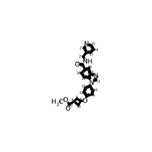 COC(=O)C1CC(Oc2ccc(-n3cnc4cc(C(=O)NCc5cccnc5)ccc43)cc2)C1